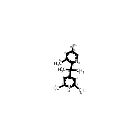 Cc1cc(C(C)(C)c2ncc(C(C)C)cc2C)cc(C)n1